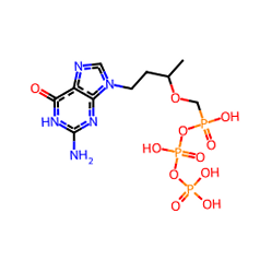 CC(CCn1cnc2c(=O)[nH]c(N)nc21)OCP(=O)(O)OP(=O)(O)OP(=O)(O)O